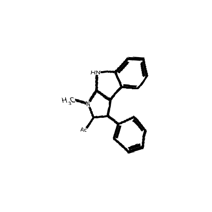 CC(=O)C1C(c2ccccc2)C2c3ccccc3NC2N1C